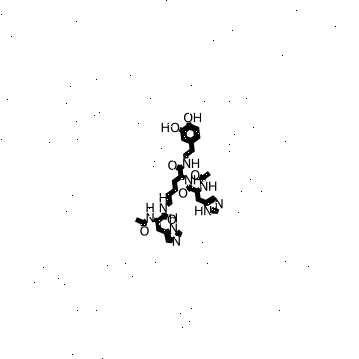 CC(=O)NC(Cc1cnc[nH]1)C(=O)NCCCCC(NC(=O)C(Cc1cnc[nH]1)NC(C)=O)C(=O)NCCc1ccc(O)c(O)c1